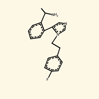 CC(N)c1ccccc1-c1cncn1CCc1ccc(F)cc1